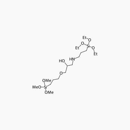 CCO[Si](CCCNCC(O)COCCC[Si](OC)(OC)OC)(OCC)OCC